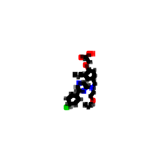 COCCN(Cc1ccc(OCC(=O)O)c(C)c1)c1cncc(-c2ccc(Cl)cc2)n1